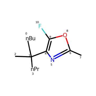 CCCCC(C)(CCC)c1nc(C)oc1F